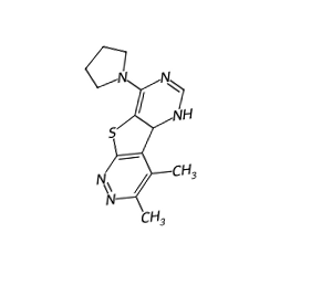 Cc1nnc2c(c1C)C1NC=NC(N3CCCC3)=C1S2